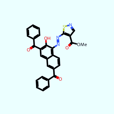 COC(=O)c1cnsc1/N=N/c1c(O)c(C(=O)c2ccccc2)cc2cc(C(=O)c3ccccc3)ccc12